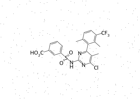 Cc1ccc(C(F)(F)F)c(C)c1-c1nc(NS(=O)(=O)c2cccc(C(=O)O)c2)nc(Cl)c1C